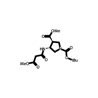 COC(=O)CC(=O)N[C@H]1CN(C(=O)OC(C)(C)C)C[C@@H]1C(=O)OC